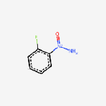 N[N+](=O)c1cc[c]cc1F